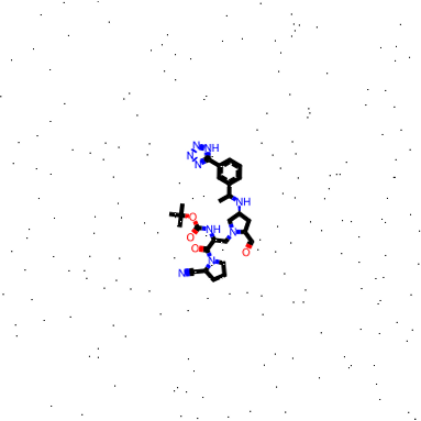 CC(N[C@H]1CC(C=O)N(CC(NC(=O)OC(C)(C)C)C(=O)N2CCCC2C#N)C1)c1cccc(-c2nnn[nH]2)c1